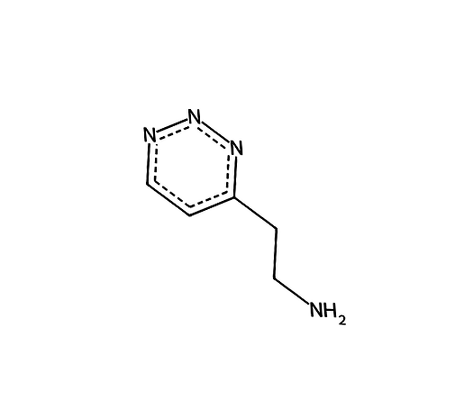 NCCc1ccnnn1